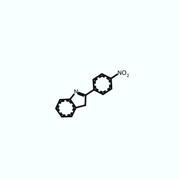 O=[N+]([O-])c1ccc(C2=Nc3ccccc3C2)cc1